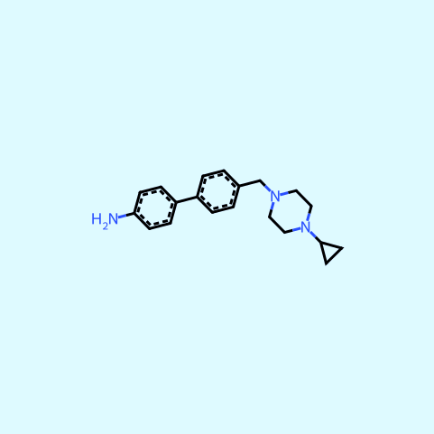 Nc1ccc(-c2ccc(CN3CCN(C4CC4)CC3)cc2)cc1